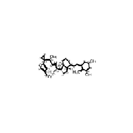 C=C1/C(=C\C=C2/CCC[C@]3(C)[C@@H]([C@H](C)/C=C/[C@@H](O)C4(c5cc(CCC)co5)CC4)CC[C@@H]23)C[C@@H](O)C[C@@H]1O